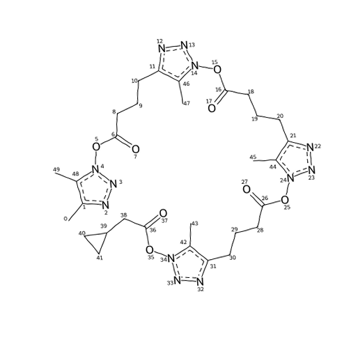 Cc1nnn(OC(=O)CCCc2nnn(OC(=O)CCCc3nnn(OC(=O)CCCc4nnn(OC(=O)CC5CC5)c4C)c3C)c2C)c1C